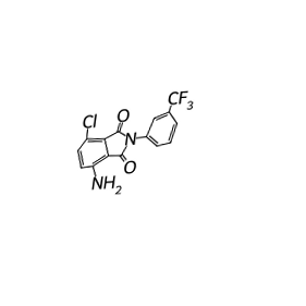 Nc1ccc(Cl)c2c1C(=O)N(c1cccc(C(F)(F)F)c1)C2=O